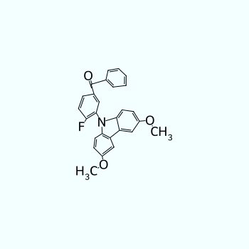 COc1ccc2c(c1)c1cc(OC)ccc1n2-c1cc(C(=O)c2ccccc2)ccc1F